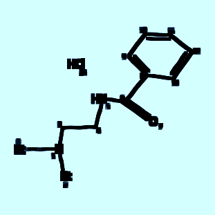 CCN(CC)CCNC(=O)c1ccccc1.Cl